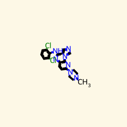 CN1CCN(c2ccc3nc(Nc4c(Cl)cccc4Cl)c4cncn4c3n2)CC1